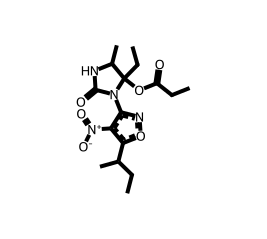 CCC(=O)OC1(CC)C(C)NC(=O)N1c1noc(C(C)CC)c1[N+](=O)[O-]